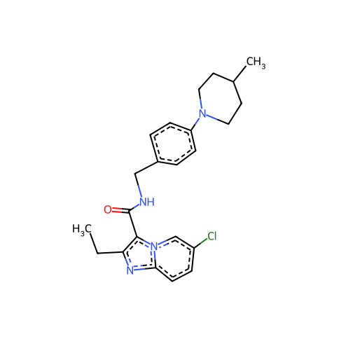 CCc1nc2ccc(Cl)cn2c1C(=O)NCc1ccc(N2CCC(C)CC2)cc1